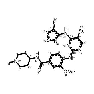 COc1cc(C(=O)NC2CCN(C)CC2)ccc1Nc1ncc(C(C)=O)c(Nc2nsnc2F)n1